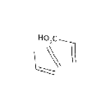 C=C.C=CC.C=CC(=O)O